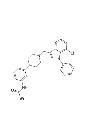 CC(C)C(=O)Nc1cccc(C2CCN(Cc3cn(-c4ccccc4)c4c(Cl)cccc34)CC2)c1